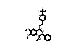 CNC(=O)[C@@H](N[C@@H](CCc1ccc(C(F)(F)F)nc1)c1ccc(OC)c(OC)c1)c1ccccc1